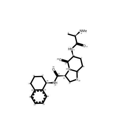 CN[C@H](C)C(=O)N[C@H]1CCC2SC[C@@H](C(=O)N[C@@H]3CCCc4ccccc43)N2C1=O